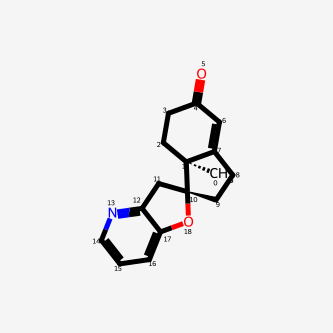 C[C@]12CCC(=O)C=C1CC[C@@]21Cc2ncccc2O1